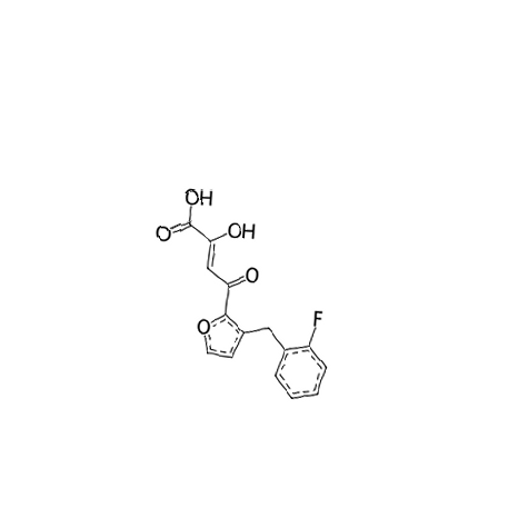 O=C(O)C(O)=CC(=O)c1occc1Cc1ccccc1F